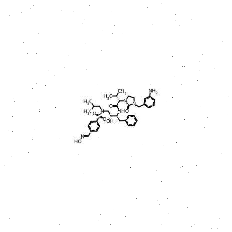 CC(C)CN(C[C@@H](O)[C@H](Cc1ccccc1)NC(=O)[C@H](C(C)C)N1CCN(Cc2cccc(N)c2)C1=O)S(=O)(=O)c1ccc(/C=N/O)cc1